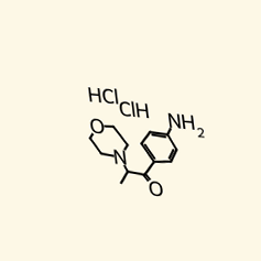 CC(C(=O)c1ccc(N)cc1)N1CCOCC1.Cl.Cl